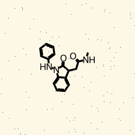 CNC(=O)CC1C(=O)N(Nc2ccccc2)c2ccccc21